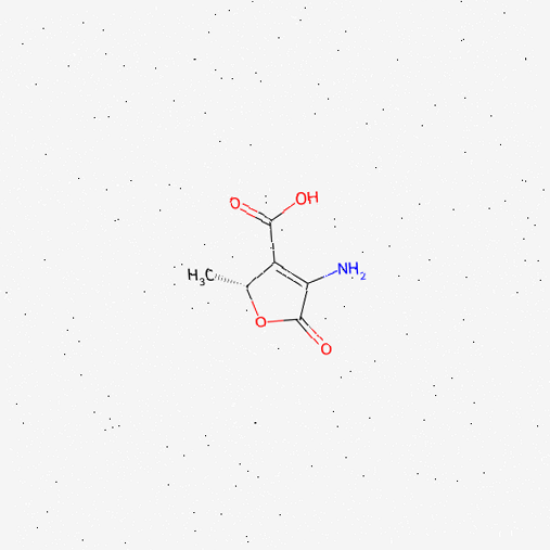 C[C@H]1OC(=O)C(N)=C1C(=O)O